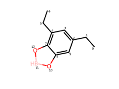 CCc1cc(CC)c2c(c1)OBO2